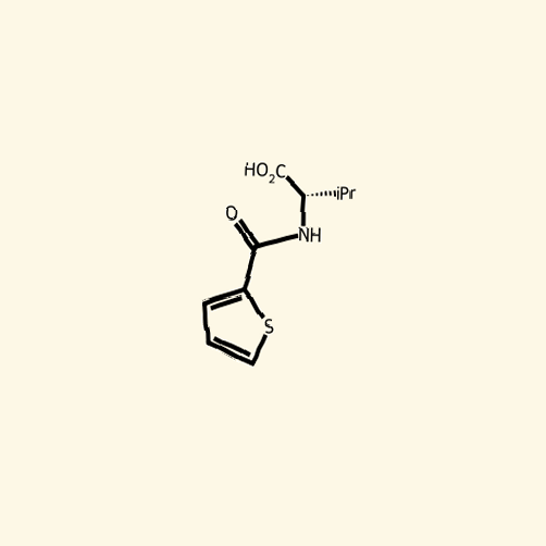 CC(C)[C@H](NC(=O)c1cccs1)C(=O)O